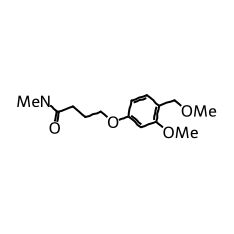 CNC(=O)CCCOc1ccc(COC)c(OC)c1